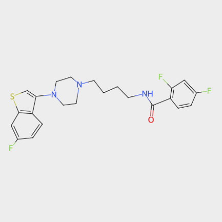 O=C(NCCCCN1CCN(c2csc3cc(F)ccc23)CC1)c1ccc(F)cc1F